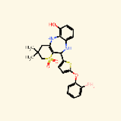 Bc1ccccc1Oc1ccc(C2Nc3cccc(O)c3NC3=C2S(=O)(=O)CC(C)(C)C3)s1